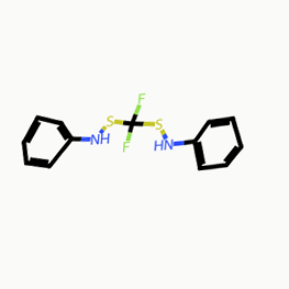 FC(F)(SNc1ccccc1)SNc1ccccc1